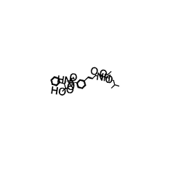 CC(C)COC(C)ONC(=O)C=Cc1cccc(S(=O)(=O)N[C@H](C(=O)O)c2ccccc2)c1